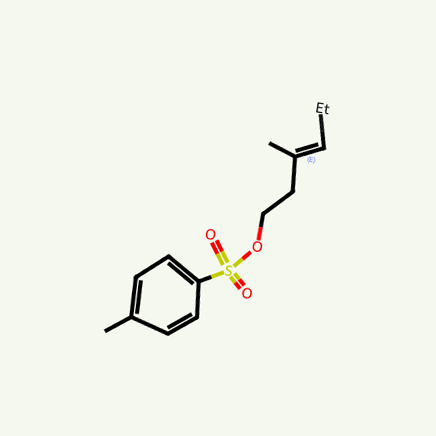 CC/C=C(\C)CCOS(=O)(=O)c1ccc(C)cc1